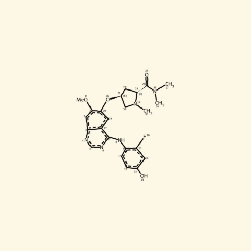 COc1cc2ncnc(Nc3ccc(O)cc3F)c2cc1O[C@H]1C[C@H](C(=O)N(C)C)N(C)C1